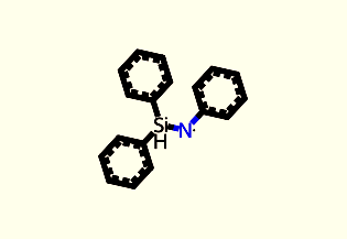 c1ccc([N][SiH](c2ccccc2)c2ccccc2)cc1